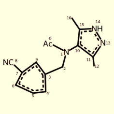 CC(=O)N(Cc1cccc(C#N)c1)c1c(C)n[nH]c1C